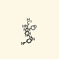 CCNc1nc2cnc(-n3cnc4ccc(C#N)cc43)nc2n1C1CCOCC1